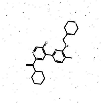 C=C(c1cc(-c2ccc(F)c(NCC3CCOCC3)n2)c(Cl)cn1)C1CCCCC1